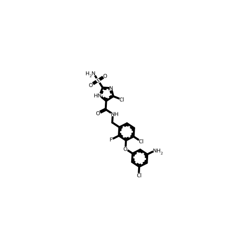 Nc1cc(Cl)cc(Oc2c(Cl)ccc(CNC(=O)c3[nH]c(S(N)(=O)=O)nc3Cl)c2F)c1